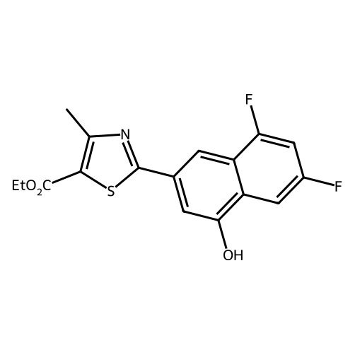 CCOC(=O)c1sc(-c2cc(O)c3cc(F)cc(F)c3c2)nc1C